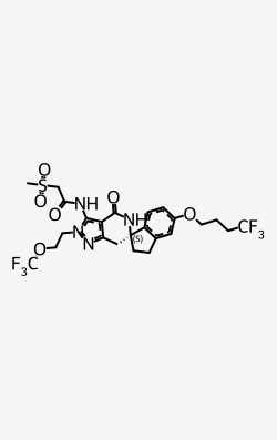 CS(=O)(=O)CC(=O)Nc1c2c(nn1CCOC(F)(F)F)C[C@]1(CCc3cc(OCCCC(F)(F)F)ccc31)NC2=O